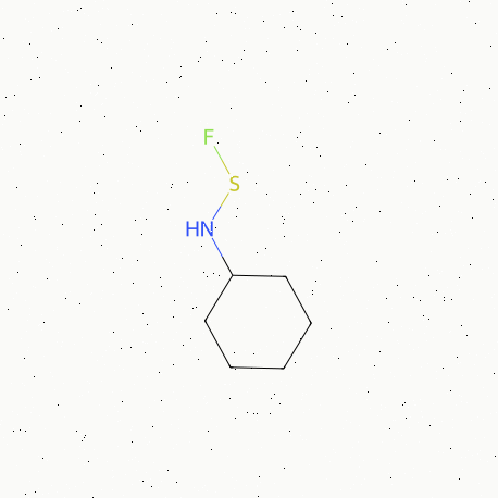 FSNC1CCCCC1